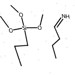 CCCC=N.CCC[Si](OC)(OC)OC